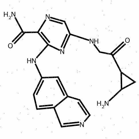 NC(=O)c1ncc(NCC(=O)C2CC2N)nc1Nc1ccc2cnccc2c1